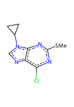 CSc1nc(Cl)c2ncn(C3CC3)c2n1